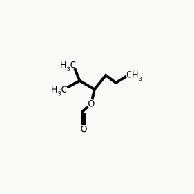 CCCC(OC=O)C(C)C